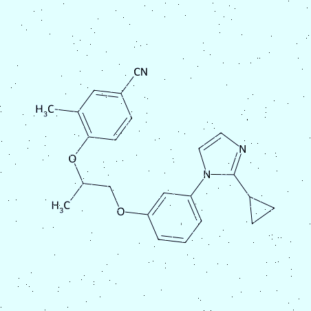 Cc1cc(C#N)ccc1OC(C)COc1cccc(-n2ccnc2C2CC2)c1